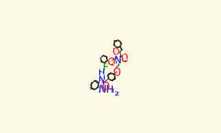 Nc1ccccc1NC(=O)c1ccc(OCCN(COc2ccccc2F)C(=O)c2cc3ccccc3o2)cc1